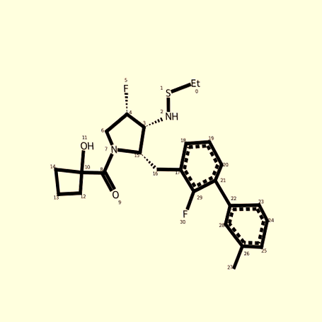 CCSN[C@H]1[C@@H](F)CN(C(=O)C2(O)CCC2)[C@H]1Cc1cccc(-c2cccc(C)c2)c1F